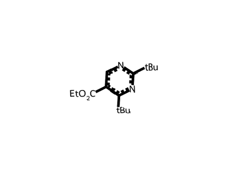 CCOC(=O)c1cnc(C(C)(C)C)nc1C(C)(C)C